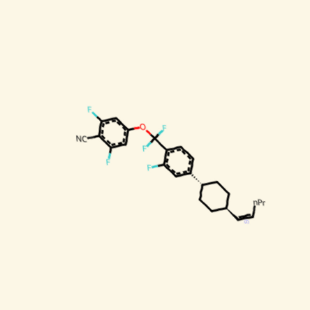 CCC/C=C\[C@H]1CC[C@H](c2ccc(C(F)(F)Oc3cc(F)c(C#N)c(F)c3)c(F)c2)CC1